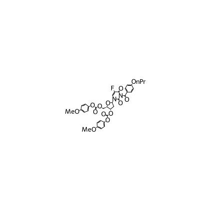 CCCOc1ccc(C(=O)n2c(=O)c(F)cn([C@H]3C[C@H](OC(=O)Oc4ccc(OC)cc4)[C@@H](COC(=O)Oc4ccc(OC)cc4)O3)c2=O)cc1